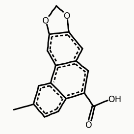 Cc1ccc2c(C(=O)O)cc3cc4c(cc3c2c1)OCO4